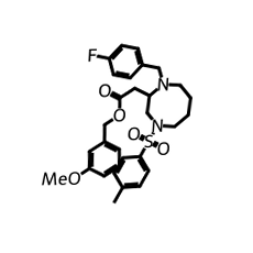 COc1cccc(COC(=O)CC2CN(S(=O)(=O)c3ccc(C)cc3)CCCCN2Cc2ccc(F)cc2)c1